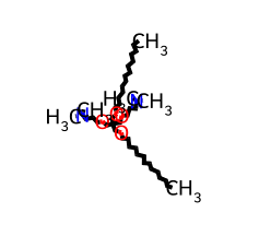 CCCCCCCCCCCCCCOCC(COCCCCCCCCCCCCCC)(COCCCN(C)C)COCCCN(C)C